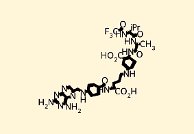 CC(C)[C@H](NC(=O)C(F)(F)F)C(=O)N[C@@H](C)C(=O)Nc1ccc(NCCC[C@H](NC(=O)c2ccc(NCc3cnc4nc(N)nc(N)c4n3)cc2)C(=O)O)cc1C(=O)O